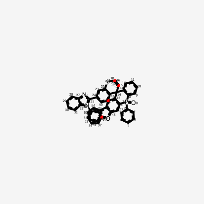 O=P1(c2ccccc2)c2ccccc2C2(c3ccccc3Sc3cc(-c4nc5ccccc5n4-c4ccccc4)ccc32)c2cc3c(cc21)oc1ccccc13